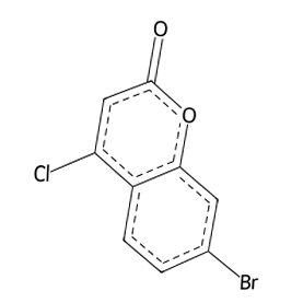 O=c1cc(Cl)c2ccc(Br)cc2o1